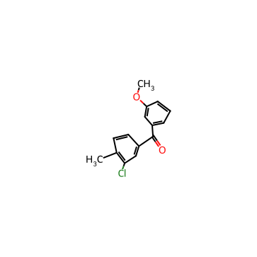 COc1cccc(C(=O)c2ccc(C)c(Cl)c2)c1